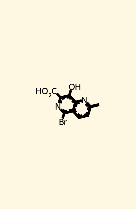 Cc1ccc2c(Br)nc(C(=O)O)c(O)c2n1